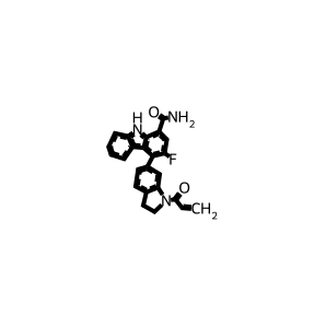 C=CC(=O)N1CCc2ccc(-c3c(F)cc(C(N)=O)c4[nH]c5ccccc5c34)cc21